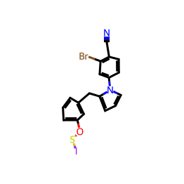 N#Cc1ccc(-n2cccc2Cc2cccc(OSI)c2)cc1Br